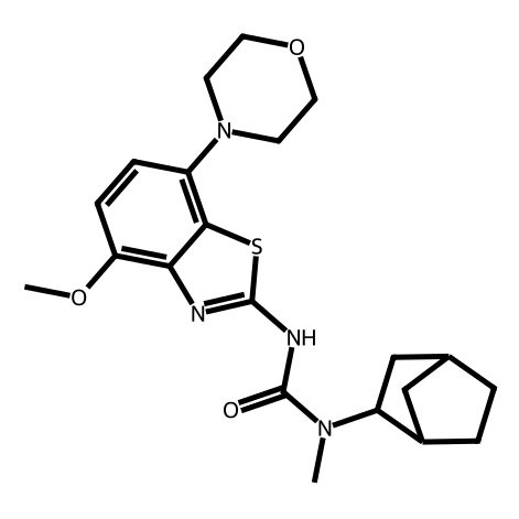 COc1ccc(N2CCOCC2)c2sc(NC(=O)N(C)C3CC4CCC3C4)nc12